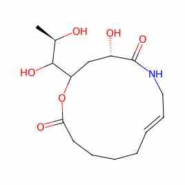 C[C@@H](O)C(O)C1C[C@H](O)C(=O)NC/C=C/CCCCC(=O)O1